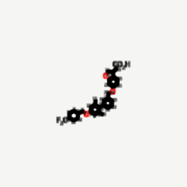 Cc1cc(OCC2CCC(C(F)(F)F)CC2)cc(C)c1-c1cccc(COc2ccc3c(c2)OCC3CC(=O)O)c1